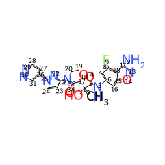 CC(O)(C(=O)Nc1cc(F)c2c(N)noc2c1)[C@H]1OCCN(c2ccn(-c3ccnnc3)n2)C1=O